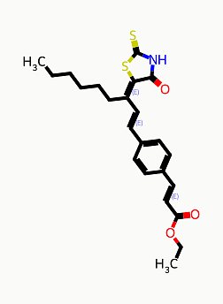 CCCCCCC(/C=C/c1ccc(/C=C/C(=O)OCC)cc1)=C1\SC(=S)NC1=O